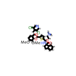 COc1ccc([C@H](Cc2c(Cl)cncc2Cl)OC(=O)c2ccc(CNC3(C(=O)OCCN(C)C)CCc4ccccc43)s2)cc1OC